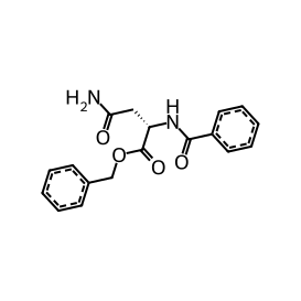 NC(=O)C[C@H](NC(=O)c1ccccc1)C(=O)OCc1ccccc1